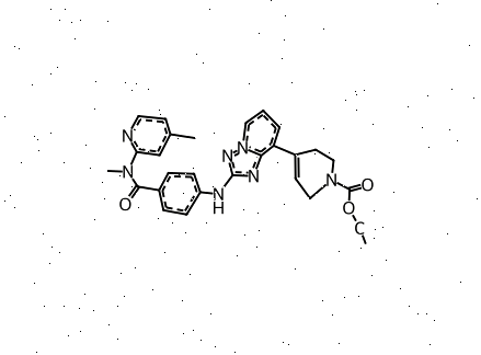 CCOC(=O)N1CC=C(c2cccn3nc(Nc4ccc(C(=O)N(C)c5cc(C)ccn5)cc4)nc23)CC1